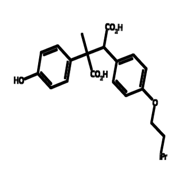 CC(C)CCOc1ccc(C(C(=O)O)C(C)(C(=O)O)c2ccc(O)cc2)cc1